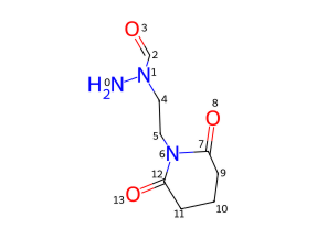 NN(C=O)CCN1C(=O)CCCC1=O